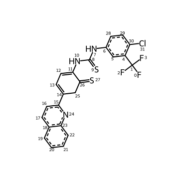 FC(F)(F)c1cc(NC(=S)NC2=CC=C(c3ccc4ccccc4n3)CC2=S)ccc1Cl